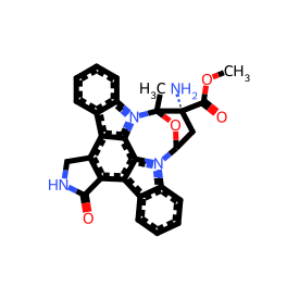 COC(=O)[C@@]1(N)CC2OC1(C)n1c3ccccc3c3c4c(c5c6ccccc6n2c5c31)C(=O)NC4